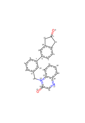 O=C1Cc2ccc(-c3cccc(Cn4c(=O)cnc5ccccc54)c3)cc2C1